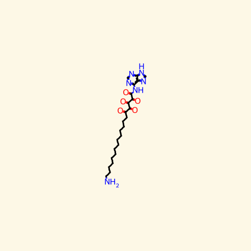 NCCCCCCCCCCCCCCC(=O)C(=O)C(=O)C(=O)C(=O)Nc1ncnc2[nH]cnc12